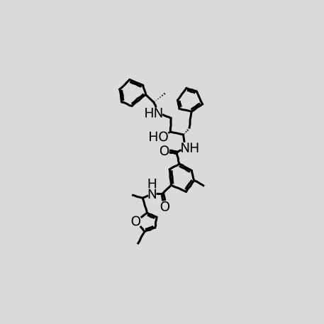 Cc1cc(C(=O)NC(C)c2ccc(C)o2)cc(C(=O)N[C@@H](Cc2ccccc2)[C@H](O)CN[C@@H](C)c2ccccc2)c1